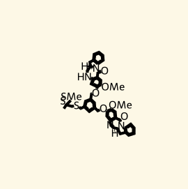 COc1cc2c(cc1OCc1cc(COc3cc4c(cc3OC)C(=O)N3c5ccccc5C[C@H]3CN4)cc(CSCC(C)(C)SSC)c1)N=C[C@@H]1Cc3ccccc3N1C2=O